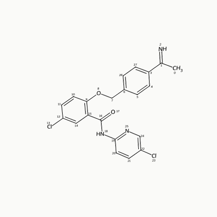 CC(=N)c1ccc(COc2ccc(Cl)cc2C(=O)Nc2ccc(Cl)cn2)cc1